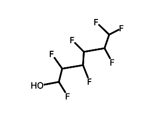 OC(F)C(F)C(F)C(F)C(F)C(F)F